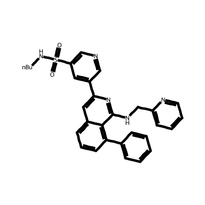 CCCCNS(=O)(=O)c1cncc(-c2cc3cccc(-c4ccccc4)c3c(NCc3ccccn3)n2)c1